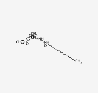 CCC=CCC=CCC=CCC=CCC=CCC=CCCC(=O)NCCCNCCNC(=O)C(C)(C)Oc1ccc(C(=O)c2ccc(Cl)cc2)cc1